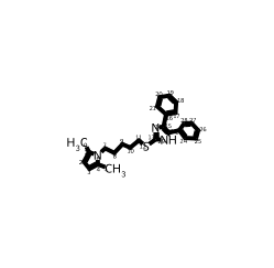 Cc1ccc(C)n1CCCCCSc1nc(-c2ccccc2)c(-c2ccccc2)[nH]1